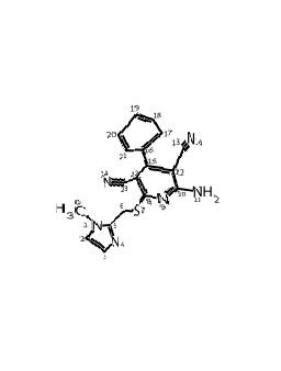 Cn1ccnc1CSc1nc(N)c(C#N)c(-c2ccccc2)c1C#N